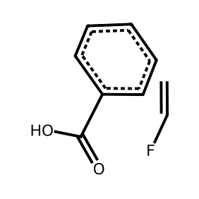 C=CF.O=C(O)c1ccccc1